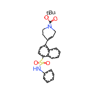 CC(C)(C)OC(=O)N1CC=C(c2ccc(S(=O)(=O)Nc3ccccc3)c3ccccc23)CC1